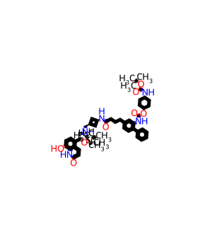 CC(C)(C)OC(=O)N[C@H]1CC[C@H](OC(=O)Nc2cc(CCCC(=O)N[C@H]3C[C@H](CNC[C@H](O[Si](C)(C)C(C)(C)C)c4ccc(O)c5[nH]c(=O)ccc45)C3)ccc2-c2ccccc2)CC1